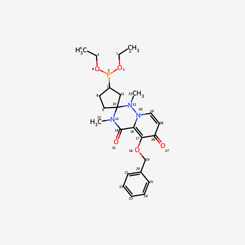 CCOP(OCC)C1CCC2(C1)N(C)C(=O)c1c(OCc3ccccc3)c(=O)ccn1N2C